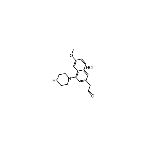 COc1ccc2cc(CC=O)cc(N3CCNCC3)c2c1.Cl